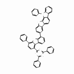 c1ccc(-c2nc(-c3ccccc3)nc(-c3ccc(-c4ccccc4)c4oc5c(-c6ccc7oc8c(ccc9c%10ccccc%10n(-c%10ccccc%10)c98)c7c6)cccc5c34)n2)cc1